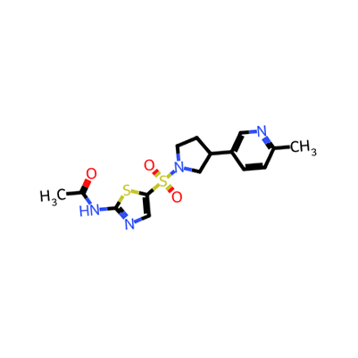 CC(=O)Nc1ncc(S(=O)(=O)N2CCC(c3ccc(C)nc3)C2)s1